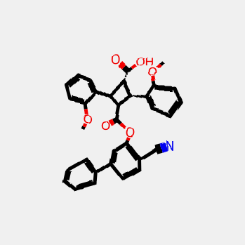 COc1ccccc1C1C(C(=O)Oc2cc(-c3ccccc3)ccc2C#N)[C@H](c2ccccc2OC)[C@H]1C(=O)O